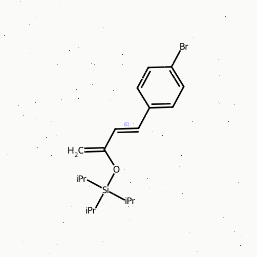 C=C(/C=C/c1ccc(Br)cc1)O[Si](C(C)C)(C(C)C)C(C)C